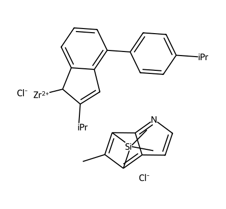 CC(C)C1=Cc2c(-c3ccc(C(C)C)cc3)cccc2[CH]1[Zr+2].CC1=C2C3=NC=CC3=C1[Si]2(C)C.[Cl-].[Cl-]